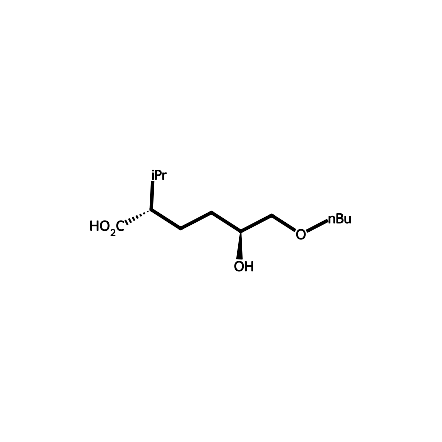 CCCCOC[C@@H](O)CC[C@H](C(=O)O)C(C)C